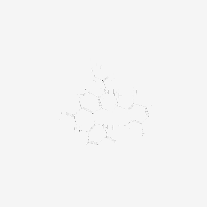 C=C(Nc1ccc(=O)[nH]c1)c1cc(OC(C)c2c(Cl)ccc(F)c2Cl)c(NC(=O)OC(C)(C)C)nn1